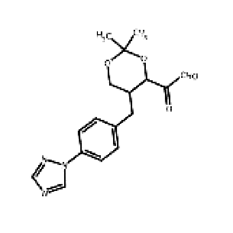 CC1(C)OCC(Cc2ccc(-n3cncn3)cc2)C(C(=O)C=O)O1